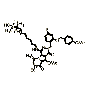 CCN1C[C@H](C)n2c(c(OC)c3c(=O)n(Cc4ccc(F)cc4OCc4ccc(OC)cc4)nc(NCCCCCCCC(C)(C)[Si](C)(C)O)c32)C1=O